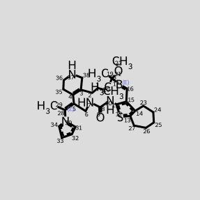 CCCC1=C(/C(CNC(=O)Nc2sc3c(c2/C=B/C(C)(C)OC)CCCCC3)=C(\C)n2cccc2)CCNC1